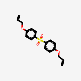 C=CCOc1ccc(S(=O)(=O)c2ccc(OCC=C)cc2)cc1